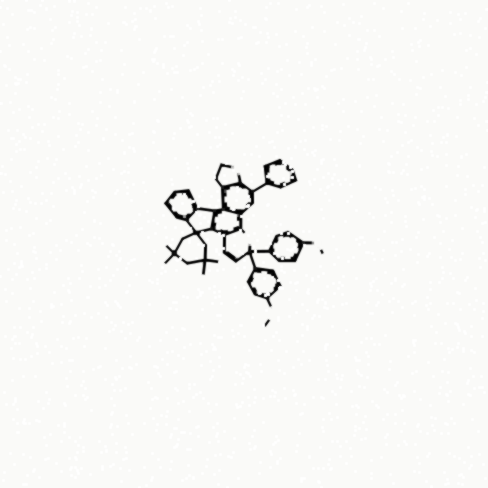 COc1ccc(C2(c3ccc(OC)cc3)C=Cc3c4c(c5c6c(c(-c7ccccc7)cc5c3O2)OCC6)-c2ccccc2C42CC(C)(C)CC(C)(C)C2)cc1